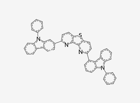 c1ccc(-n2c3ccccc3c3ccc(-c4ccc5sc6ccc(-c7cccc8c7c7ccccc7n8-c7ccccc7)nc6c5n4)cc32)cc1